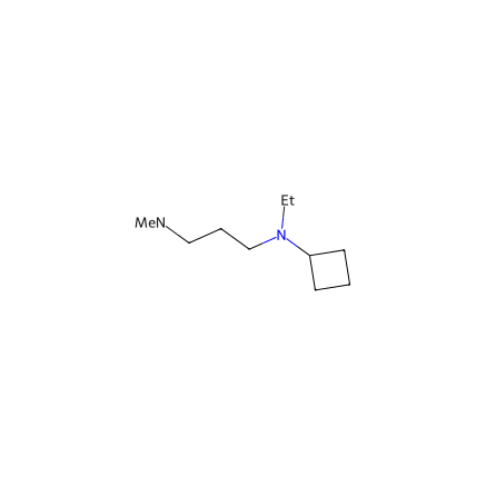 CCN(CCCNC)C1CCC1